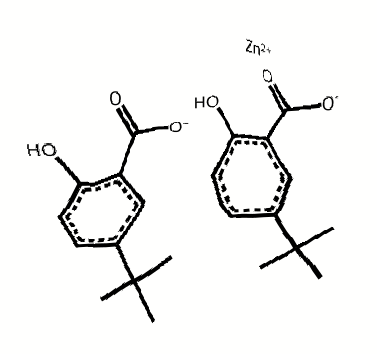 CC(C)(C)c1ccc(O)c(C(=O)[O-])c1.CC(C)(C)c1ccc(O)c(C(=O)[O-])c1.[Zn+2]